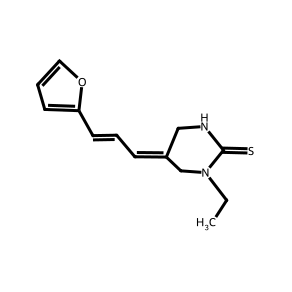 CCN1CC(=CC=Cc2ccco2)CNC1=S